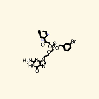 C#C/C=C(\C=C/C)C(=O)COP(=O)(COCCn1cnc2c(=O)[nH]c(N)nc21)OCc1cccc(Br)c1